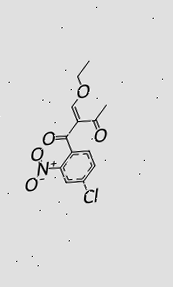 CCOC=C(C(C)=O)C(=O)c1ccc(Cl)cc1[N+](=O)[O-]